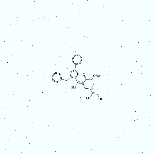 COCC(=O)N(C[C@H](F)[C@H](N)CO)[C@@H](c1nc(-c2ccccc2)cn1Cc1ccccc1)C(C)(C)C